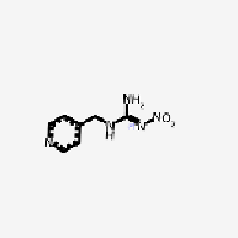 N/C(=N\[N+](=O)[O-])NCc1ccncc1